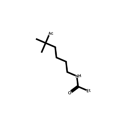 CCC(=O)NCCCCC(C)(C)C(C)=O